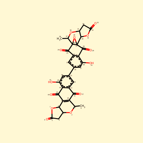 CC1OC2CC(=O)OC2C2=C1C(=O)c1cc(-c3cc(O)c4c(c3)C(=O)C35OC3(C4=O)C3OC(=O)CC3OC5C)cc(O)c1C2=O